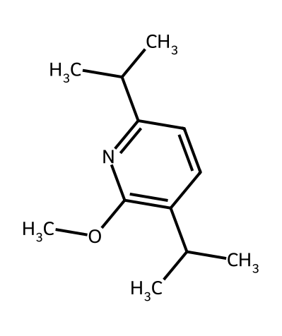 COc1nc(C(C)C)ccc1C(C)C